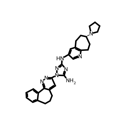 Nc1nc(Nc2cnc3c(c2)CC[C@H](N2CCCC2)CC3)nn1-c1cc2c(nn1)-c1ccccc1CCC2